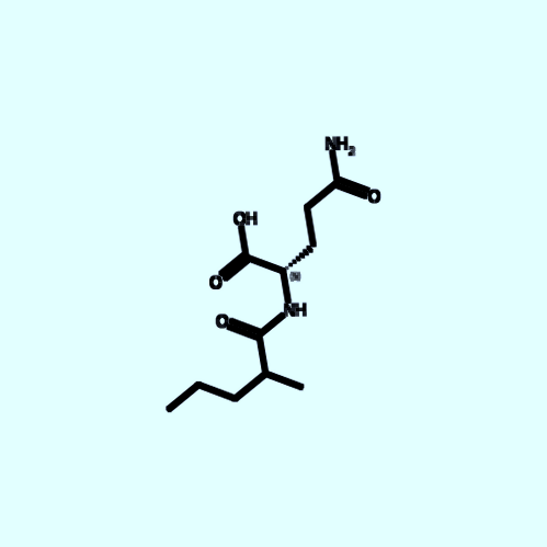 CCCC(C)C(=O)N[C@@H](CCC(N)=O)C(=O)O